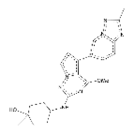 COc1nc(NC2CCC(C)(O)CC2)nn2ccc(-c3ccc4nc(C)nn4c3)c12